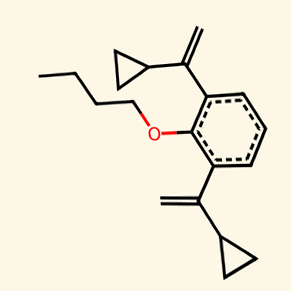 C=C(c1cccc(C(=C)C2CC2)c1OCCCC)C1CC1